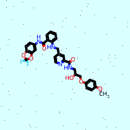 COc1ccc(OCC(O)CNC(=O)c2cc(CNc3ccccc3C(=O)Nc3ccc4c(c3)OC(F)(F)O4)ccn2)cc1